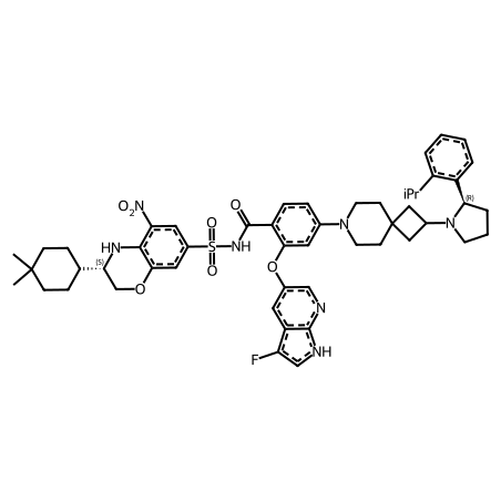 CC(C)c1ccccc1[C@H]1CCCN1C1CC2(CCN(c3ccc(C(=O)NS(=O)(=O)c4cc5c(c([N+](=O)[O-])c4)N[C@@H](C4CCC(C)(C)CC4)CO5)c(Oc4cnc5[nH]cc(F)c5c4)c3)CC2)C1